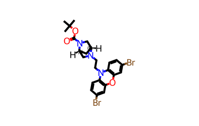 CC(C)(C)OC(=O)N1C[C@H]2C[C@@H]1CN2CCN1c2ccc(Br)cc2Oc2cc(Br)ccc21